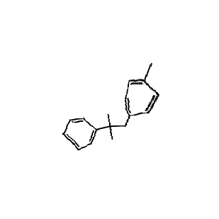 Cc1ccc(CC(C)(C)c2[c]cccc2)cc1